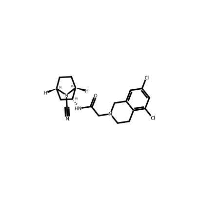 N#CN1[C@H]2CC[C@@H]1[C@H](NC(=O)CN1CCc3c(Cl)cc(Cl)cc3C1)C2